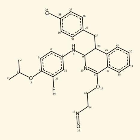 CC(C)Oc1ccc(NC2N=C(OCCN=O)c3ccccc3C2Cc2ccc(Cl)cc2)cc1F